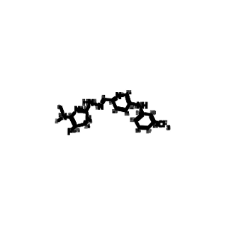 CN(C)c1nc(N/N=C/c2ccc(Nc3cccc(C(F)(F)F)c3)cn2)ncc1F